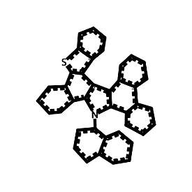 c1ccc2c(-n3c4c5ccccc5c5ccccc5c4c4c5c6ccccc6sc5c5ccccc5c43)cccc2c1